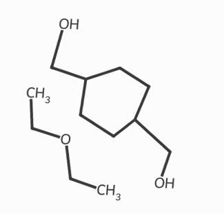 CCOCC.OCC1CCC(CO)CC1